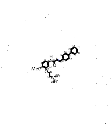 COc1ccc(NC(=O)/C=C/c2ccc(-c3ccccc3)cc2)cc1OCCN(C(C)C)C(C)C